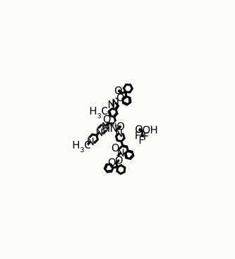 Cc1cc(C[C@@H](NC(=O)N2CCC(c3cc4ccccc4n(COC(=O)C4(c5ccccc5)CCCCC4)c3=O)CC2)C(=O)N2CCN(C3CCN(C)CC3)CC2)cc2cn(COC(=O)C3(c4ccccc4)CCCCC3)nc12.O=C(O)C(F)(F)F